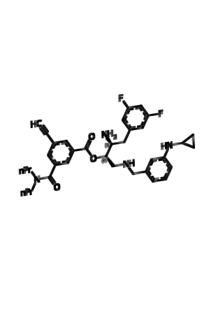 C#Cc1cc(C(=O)O[C@H](CNCc2cccc(NC3CC3)c2)[C@@H](N)Cc2cc(F)cc(F)c2)cc(C(=O)N(CCC)CCC)c1